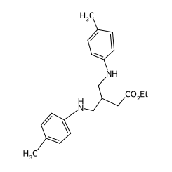 CCOC(=O)CC(CNc1ccc(C)cc1)CNc1ccc(C)cc1